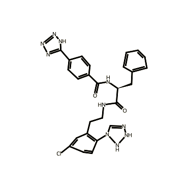 O=C(N[C@@H](Cc1ccccc1)C(=O)NCCc1cc(Cl)ccc1N1C=NNN1)c1ccc(-c2nnn[nH]2)cc1